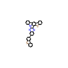 c1ccc2c(c1)sc1ccc(-c3ccc4nc5c6c7sc8ccccc8c7cc7c8ccccc8n(c5nc4c3)c76)cc12